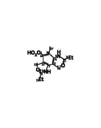 CCC(=O)Nc1c(I)c(NC(=O)CC)c(I)c(C(=O)O)c1I